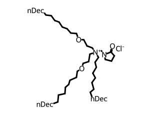 CCCCCCCCCCCCCCCCCCOCCC[N+](CCCCCCCCCCCCCCCCCC)(CCCOCCCCCCCCCCCCCCCCCC)CN1CCCC1=O.[Cl-]